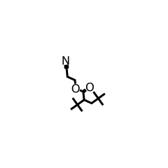 CC(C)(C)CC(C(=O)OCCC#N)C(C)(C)C